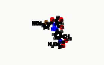 C#Cc1ccc(C(=O)NC2(C(=O)Nc3ccc(N4C(=O)OCC4C)c(C)c3)CCOC2)s1